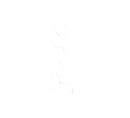 CC(C)(C)OC(=O)NCCCN1CCN(C(=O)O)CC1